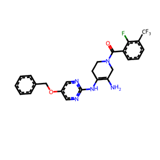 NC1=C(Nc2ncc(OCc3ccccc3)cn2)CCN(C(=O)c2cccc(C(F)(F)F)c2F)C1